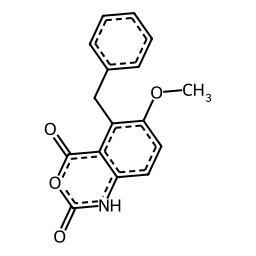 COc1ccc2[nH]c(=O)oc(=O)c2c1Cc1ccccc1